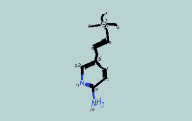 C[Si](C)(C)C=Cc1ccc(N)nc1